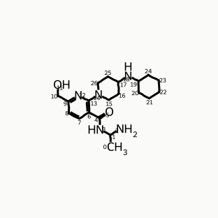 CC(N)NC(=O)c1ccc(CO)nc1N1CCC(NC2CCCCC2)CC1